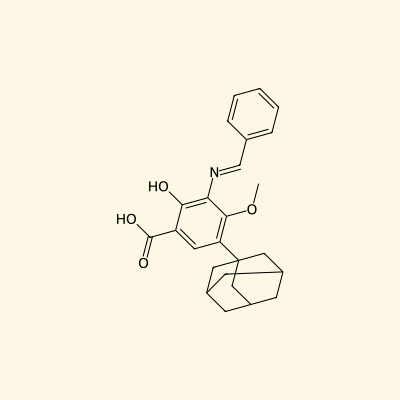 COc1c(C23CC4CC(CC(C4)C2)C3)cc(C(=O)O)c(O)c1N=Cc1ccccc1